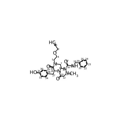 C#CCOCCN1CC2N(C(=O)CN(C)N2C(=O)NCc2ccccc2)[C@@H](Cc2ccc(O)cc2)C1=O